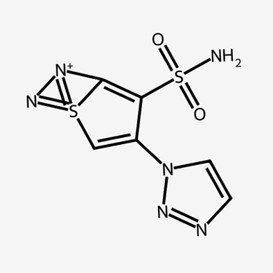 NS(=O)(=O)C1=C2[N+]3=S2(=N3)C=C1n1ccnn1